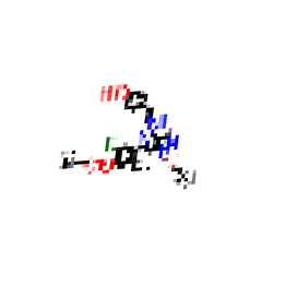 CCc1cc(OCOCC[Si](C)(C)C)c(F)cc1-c1cc2c(c(I)nn2COCC[Si](C)(C)C)c(NCCc2ccc(O)cc2)n1